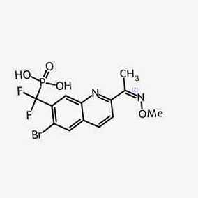 CO/N=C(/C)c1ccc2cc(Br)c(C(F)(F)P(=O)(O)O)cc2n1